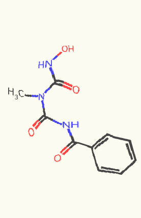 CN(C(=O)NO)C(=O)NC(=O)c1ccccc1